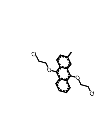 Cc1ccc2c(OCCCl)c3ccccc3c(OCCCl)c2c1